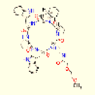 COCCOCC(=O)NCC[C@@H]1NC(=O)[C@H](Cc2c[nH]c3ccccc23)NC(=O)C2(CCCC2)NC(=O)[C@H](Cc2c[nH]c3ccccc23)NC(=O)[C@@H]2C[C@@H]3CCCC[C@@H]3N2C(=O)[C@H]2CCCN2C1=O